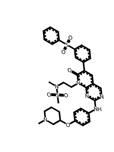 CN1CCCC(Oc2ccc(Nc3ncc4cc(-c5cccc(S(=O)(=O)c6ccccc6)c5)c(=O)n(CCN(C)S(C)(=O)=O)c4n3)cc2)C1